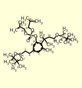 Cc1cc(CCB2OC(C)(C)C(C)(C)O2)cc(OP(=O)(OCC(C)C)OCC(C)C)c1C(C)(C)CCO[Si](C)(C)C(C)(C)C